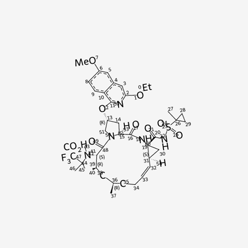 CCOc1cc2cc(OC)ccc2c(O[C@@H]2C[C@H]3C(=O)N[C@]4(C(=O)NS(=O)(=O)C5(C)CC5)C[C@H]4C=CCC[C@@H](C)C[C@@H](C)[C@H](N(C(=O)O)C(C)(C)C(F)(F)F)C(=O)N3C2)n1